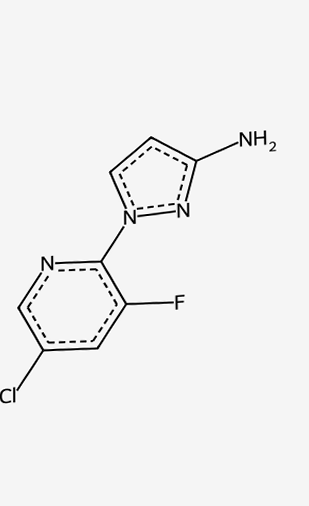 Nc1ccn(-c2ncc(Cl)cc2F)n1